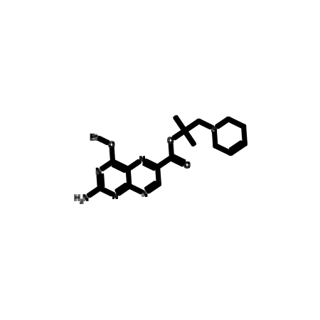 CCOc1nc(N)nc2ncc(C(=O)OC(C)(C)CN3CC=CCC3)nc12